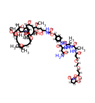 CO[C@H]1C(CC(O)CNC(=O)OCc2ccc(NC(=O)C(CC(N)=O)NC(=O)[C@H](C)NC(=O)C(C)NC(=O)CCOCCOCCC(=O)ON3C(=O)CCC3=O)cc2)O[C@H]2CC3OC4CCC5O[C@](C)(CC[C@]67C[C@H](OC)C(O6)[C@H]6CC(O7)[C@@]7(N=C3[C@H](C)C4)OC(CCC7O6)CC(=O)CC12)CC5C